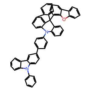 c1ccc(-n2c3ccccc3c3cc(-c4ccc(N5c6ccccc6C6(c7cccc8c7oc7ccccc78)c7ccccc7-c7ccc5c6c7)cc4)ccc32)cc1